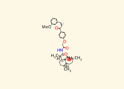 COc1cccc(/C=C\C(=O)c2ccc(OCC(=O)N[C@@H]3O[C@@H]4O[C@]5(C)CC[C@H]6[C@H](C)CC[C@@H]([C@H]3C)[C@@]46OO5)cc2)c1